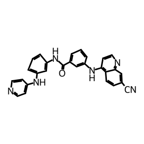 N#Cc1ccc2c(Nc3cccc(C(=O)Nc4cccc(Nc5ccncc5)c4)c3)ccnc2c1